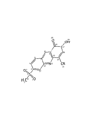 CS(=O)(=O)c1ccc2cc3c(nc2c1)C(C#N)=CC(O)C3=O